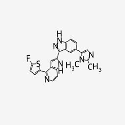 Cc1ncc(-c2ccc3[nH]nc(-c4cc5c(-c6ccc(F)s6)nccc5[nH]4)c3c2)n1C